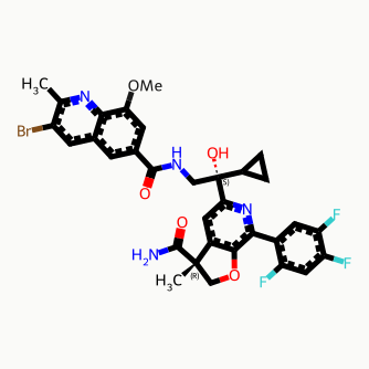 COc1cc(C(=O)NC[C@](O)(c2cc3c(c(-c4cc(F)c(F)cc4F)n2)OC[C@]3(C)C(N)=O)C2CC2)cc2cc(Br)c(C)nc12